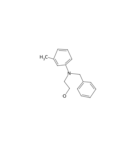 Cc1cccc(N(CC[O])Cc2ccccc2)c1